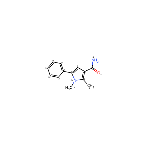 Cc1c(C(N)=O)cc(-c2ccccc2)n1C